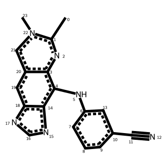 Cc1nc2c(Nc3cccc(C#N)c3)c3ncnc3cc2cn1C